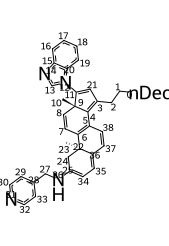 CCCCCCCCCCCCC1=C2C3=C(C=C[C@]2(C)C(n2cnc4ccccc42)=C1)[C@]1(C)CC(NCc2ccncc2)=CC=C1C=C3